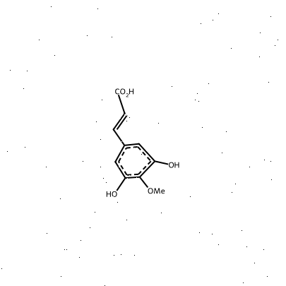 COc1c(O)cc(C=CC(=O)O)cc1O